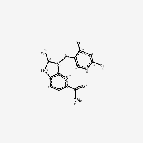 COC(=O)c1ccc2c(n1)N(Cc1cnc(Cl)cc1Cl)C(C)N2